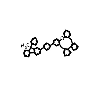 CC1(c2ccccc2)c2ccccc2-c2ccc(-c3ccc(-c4ccc5c(c4)Cc4ccccc4-c4ccccc4Cc4ccccc4O5)cc3)cc21